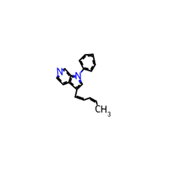 C/C=C\C=C/c1cn(-c2ccccc2)c2cnccc12